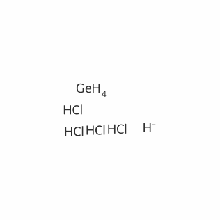 Cl.Cl.Cl.Cl.[GeH4].[H-]